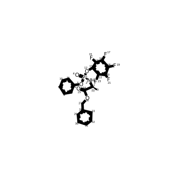 C[C@H](N[P@](=O)(Oc1ccccc1)Oc1c(F)c(F)c(F)c(F)c1F)C(=O)OCc1ccccc1